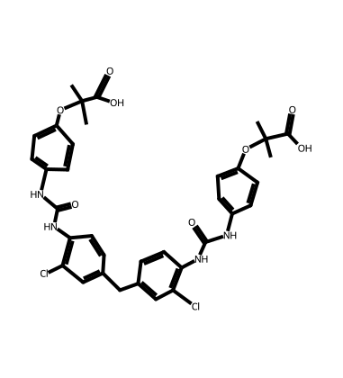 CC(C)(Oc1ccc(NC(=O)Nc2ccc(Cc3ccc(NC(=O)Nc4ccc(OC(C)(C)C(=O)O)cc4)c(Cl)c3)cc2Cl)cc1)C(=O)O